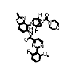 COc1cccc(F)c1-c1nccc(C(=O)Nc2ccc3sc(C)nc3c2N2C[C@H]3C[C@@H]2CN3C(=O)N2CCOCC2)n1